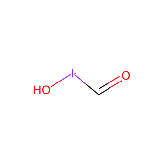 O=C[I]O